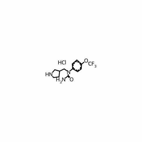 Cl.NC(=O)N(CC1CCNC1)c1ccc(OC(F)(F)F)cc1